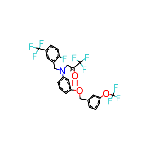 O[C@H](CN(Cc1cc(C(F)(F)F)ccc1F)c1cccc(OCc2cccc(OC(F)(F)F)c2)c1)C(F)(F)F